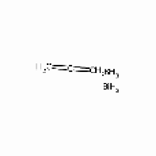 B.C=C=C.[BiH3]